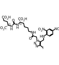 O=C(O)CC[C@H](NC(=O)N[C@@H](CCCCNC(=O)Cn1nnc(I)c1CNc1ccc([N+](=O)[O-])cc1[N+](=O)[O-])C(=O)O)C(=O)O